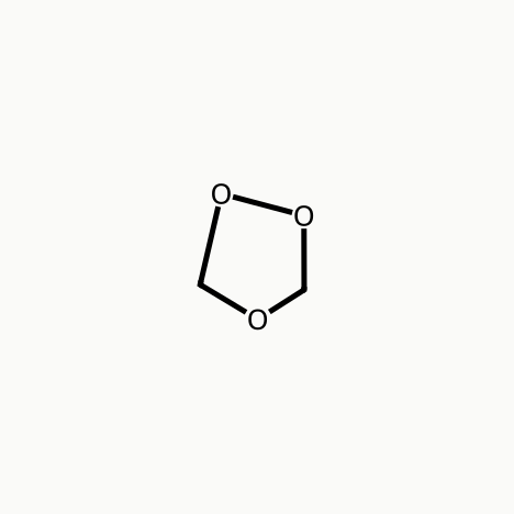 C1OCOO1